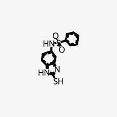 O=S(=O)(Nc1ccc2[nH]c(S)nc2c1)c1ccccc1